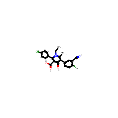 CCn1c(C)c(-c2ccc(Cl)c(C#N)c2)c(=O)c(C(=O)O)c1-c1ccc(Cl)cc1